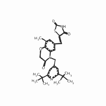 Cc1cc(/C=C2\SC(=O)NC2=O)cc2c1OCC(=O)N2Cc1cc(C(C)(C)C)nc(C(C)(C)C)c1